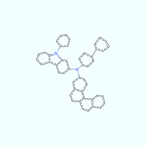 c1ccc(-c2ccc(N(c3ccc4c(ccc5ccc6ccccc6c54)c3)c3ccc4c5ccccc5n(-c5ccccc5)c4c3)cc2)cc1